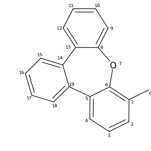 Cc1cccc2c1Oc1ccccc1-c1ccccc1-2